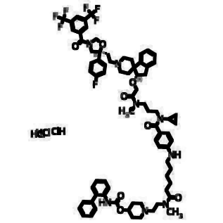 CN(CCN1CCC(OC(=O)Nc2ccccc2-c2ccccc2)CC1)C(=O)CCCCCNc1ccc(C(=O)N(CCCN(C)C(=O)CO[C@H]2Cc3ccccc3C23CCN(CC[C@]2(c4ccc(F)cc4)CN(C(=O)c4cc(C(F)(F)F)cc(C(F)(F)F)c4)CO2)CC3)C2CC2)cc1.Cl.Cl.Cl